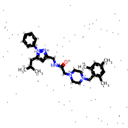 Cc1cc(C)c(CN2CCN(CC(=O)NCc3cc(CC(C)C)n(-c4ccccc4)n3)CC2)c(C)c1